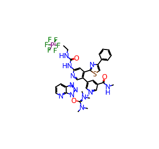 CCNC(=O)Nc1cc(-c2nc(-c3ccccc3)cs2)c(-c2cncc(C(=O)NC)c2)cn1.CN(C)C(On1nnc2cccnc21)=[N+](C)C.F[P-](F)(F)(F)(F)F